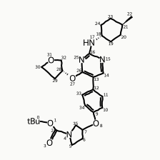 CC(C)(C)OC(=O)N1CCC(Oc2ccc(-c3cnc(N[C@H]4CC[C@H](C)CC4)nc3O[C@@H]3CCOC3)cc2)C1